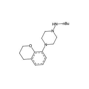 CCCCNN1CCN(c2cccc3c2OCCC3)CC1